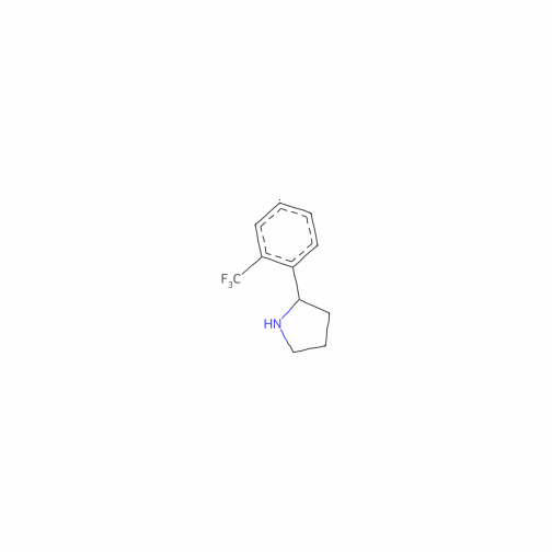 FC(F)(F)c1c[c]ccc1C1CCCN1